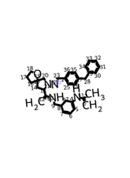 C=C(C)NC1=CC=CC(CNC(=C)C2CC3(CCCO3)CN2/N=C/c2ccc(Cc3ccccc3)cc2)C1